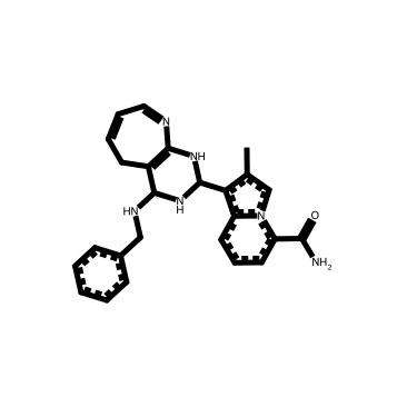 Cc1cn2c(C(N)=O)cccc2c1C1NC2=C(CC=CC=N2)C(NCc2ccccc2)N1